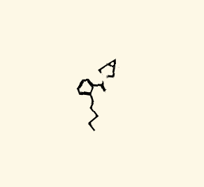 CCCCCc1ccccc1C(=O)N1C[C@H]2C[C@H]2C1